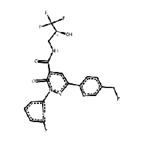 O=C(NC[C@H](O)C(F)(F)F)c1cc(-c2ccc(CF)cc2)nn(-c2cccc(F)c2)c1=O